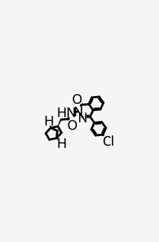 O=C(C[C@H]1C[C@@H]2CC[C@H]1C2)Nn1nc(-c2ccc(Cl)cc2)c2ccccc2c1=O